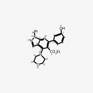 CCOC(=O)c1c(-c2cccc(O)c2)nc2c(cnn2C(C)C)c1N1CCOCC1